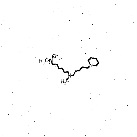 CN(C)CCCCCCN(C)CCCCCN1CCCCC1